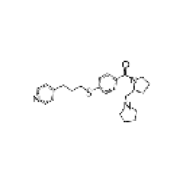 O=C(c1ccc(SCCCc2ccncc2)cc1)N1CCCC1CN1CCCC1